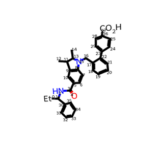 CCC(NC(=O)c1ccc2c(c1)C(C)C(C)N2Cc1ccccc1-c1ccc(C(=O)O)cc1)c1ccccc1